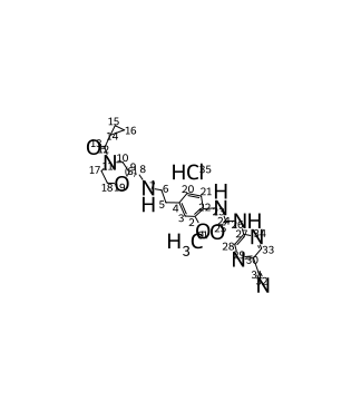 COc1cc(CCNC[C@H]2CN(C(=O)C3CC3)CCO2)ccc1NC(=O)Nc1cnc(C#N)cn1.Cl